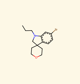 CCCN1CC2(CCOCC2)c2ccc(Br)cc21